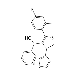 OC(C1=C(c2ccc(F)cc2F)SCC1c1ccsc1)c1cccnc1